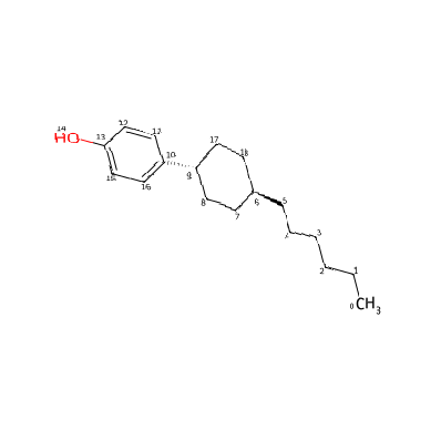 CCCCCC[C@H]1CC[C@H](c2ccc(O)cc2)CC1